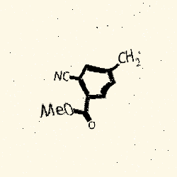 [CH2]c1ccc(C(=O)OC)c(C#N)c1